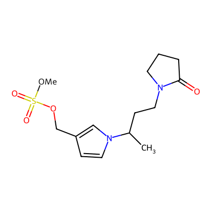 COS(=O)(=O)OCc1ccn(C(C)CCN2CCCC2=O)c1